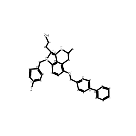 CC1Cc2c(OCc3ccc(-c4ccccc4)cn3)ccc3c2c(c(CCO)n3Cc2ccc(F)cc2)S1